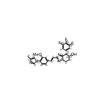 COc1cc(/C=C/c2nc3n(n2)CC[C@H](O)[C@H]3c2cc(F)c(F)c(F)c2)ccc1-n1cnc(C)c1